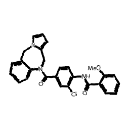 COc1ccccc1C(=O)Nc1ccc(C(=O)N2Cc3cccn3Cc3ccccc32)cc1Cl